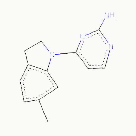 Cc1ccc2c(c1)N(c1ccnc(N)n1)CC2